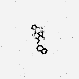 N#C[C@@H]1CCCN1C(=O)[C@H]1NCC(=S)C1C(=O)CC[C@@H]1CCc2ccccc2C1